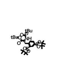 CC(C)(C)OC(=O)N[C@@H](Cc1ccc(B2OC(C)(C)C(C)(C)O2)cc1B1OC(C)(C)C(C)(C)O1)C(=O)OC(C)(C)C